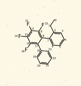 CCc1ccccc1-c1c(F)c(F)c(F)c(F)c1-c1ccccc1